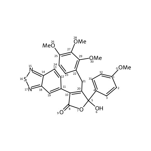 COc1ccc(C2(O)OC(=O)C(c3ccc4nsnc4c3)=C2Cc2ccc(OC)c(OC)c2OC)cc1